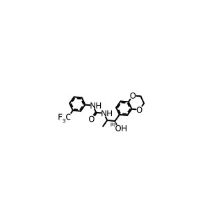 CC(NC(=O)Nc1cccc(C(F)(F)F)c1)[C@H](O)c1ccc2c(c1)OCCO2